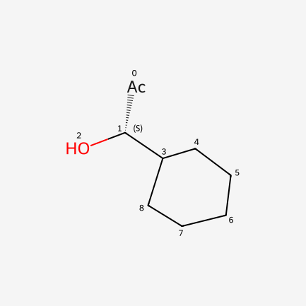 CC(=O)[C@@H](O)C1CCCCC1